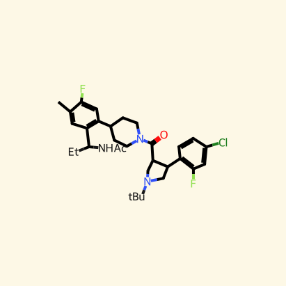 CCC(NC(C)=O)c1cc(C)c(F)cc1C1CCN(C(=O)C2CN(C(C)(C)C)CC2c2ccc(Cl)cc2F)CC1